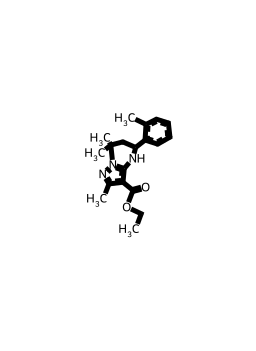 CCOC(=O)c1c(C)nn2c1NC(c1ccccc1C)CC2(C)C